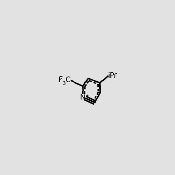 CC(C)c1cc#[n+]c(C(F)(F)F)c1